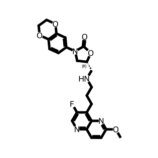 COc1ccc2ncc(F)c(CCCNC[C@@H]3CN(c4ccc5c(c4)OCCO5)C(=O)O3)c2n1